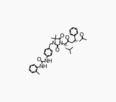 CC(=O)C[C@H](CC(=O)[C@H](CC(C)C)N1C(=O)N(Cc2ccc(NC(=O)Nc3ccccc3C)cc2)C(C)(C)C1=O)c1ccccc1